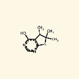 CC1c2c(O)ncnc2SC1(C)C